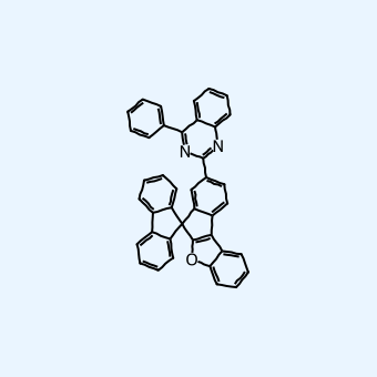 c1ccc(-c2nc(-c3ccc4c(c3)C3(c5ccccc5-c5ccccc53)c3oc5ccccc5c3-4)nc3ccccc23)cc1